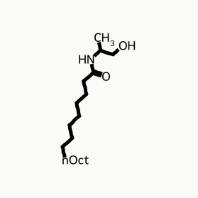 CCCCCCCCCCCCCCCC(=O)NC(C)CO